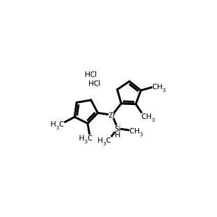 CC1=CC[C]([Zr]([C]2=C(C)C(C)=CC2)[SiH](C)C)=C1C.Cl.Cl